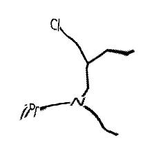 CC(C)N(C)C(C)Cl